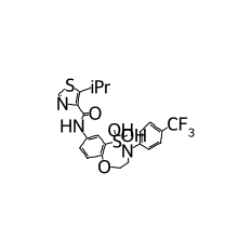 CC(C)c1scnc1C(=O)Nc1ccc2c(c1)S(O)(O)N(c1ccc(C(F)(F)F)cc1)CCO2